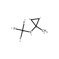 CC1(SC(F)(F)F)CC1